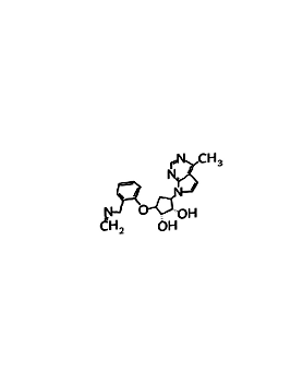 C=NCc1ccccc1OC1CC(n2ccc3c(C)ncnc32)[C@H](O)[C@@H]1O